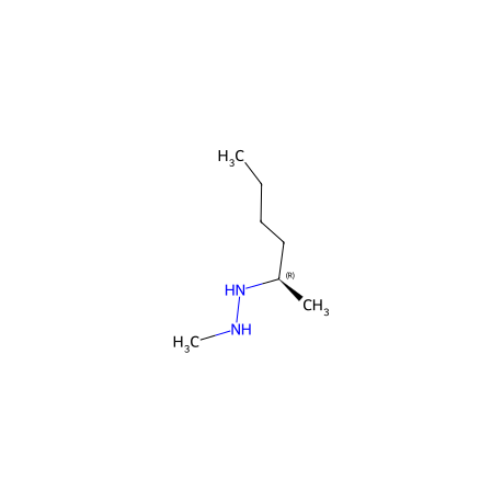 CCCC[C@@H](C)NNC